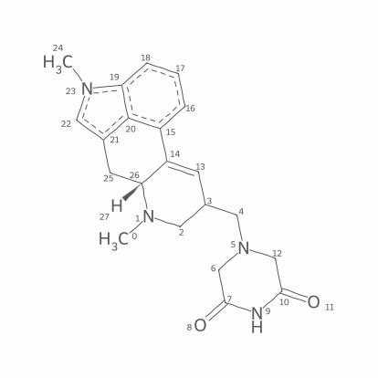 CN1CC(CN2CC(=O)NC(=O)C2)C=C2c3cccc4c3c(cn4C)C[C@H]21